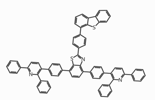 c1ccc(-c2ccc(-c3ccc(-c4ccc(-c5ccc(-c6ccc(-c7ccccc7)nc6-c6ccccc6)cc5)c5sc(-c6ccc(-c7cccc8c7sc7ccccc78)cc6)nc45)cc3)c(-c3ccccc3)n2)cc1